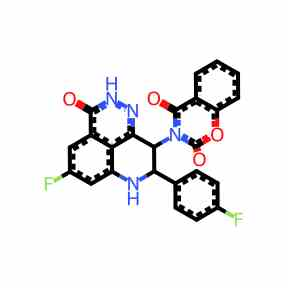 O=c1[nH]nc2c3c(cc(F)cc13)NC(c1ccc(F)cc1)C2n1c(=O)oc2ccccc2c1=O